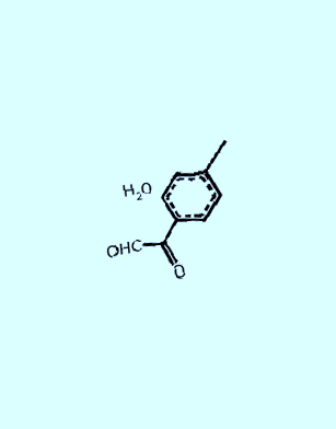 Cc1ccc(C(=O)C=O)cc1.O